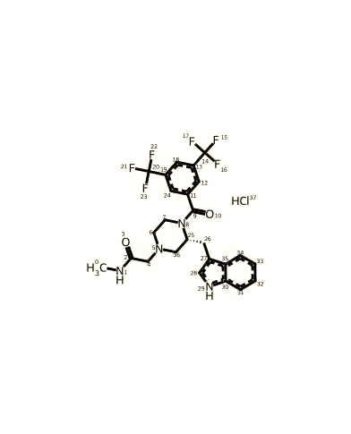 CNC(=O)CN1CCN(C(=O)c2cc(C(F)(F)F)cc(C(F)(F)F)c2)[C@H](Cc2c[nH]c3ccccc23)C1.Cl